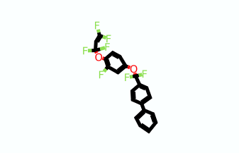 FC(F)=CC(F)(F)Oc1ccc(OC(F)(F)c2ccc(-c3ccccc3)cc2)cc1F